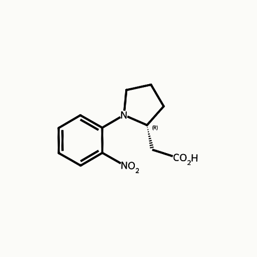 O=C(O)C[C@H]1CCCN1c1ccccc1[N+](=O)[O-]